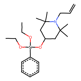 C=CCN1C(C)(C)CC(O[Si](OCC)(OCC)c2ccccc2)CC1(C)C